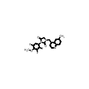 COc1c(F)cc(N2C(=O)CN(Cc3ccnc4ccc(C)cc34)C2=O)c(F)c1F